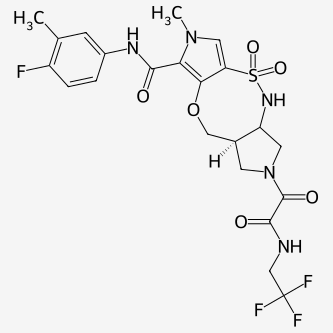 Cc1cc(NC(=O)c2c3c(cn2C)S(=O)(=O)NC2CN(C(=O)C(=O)NCC(F)(F)F)C[C@H]2CO3)ccc1F